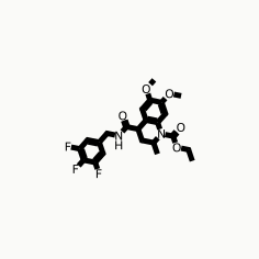 CCOC(=O)N1c2cc(OC)c(OC)cc2C(C(=O)NCc2cc(F)c(F)c(F)c2)CC1C